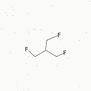 FCC(CF)CF